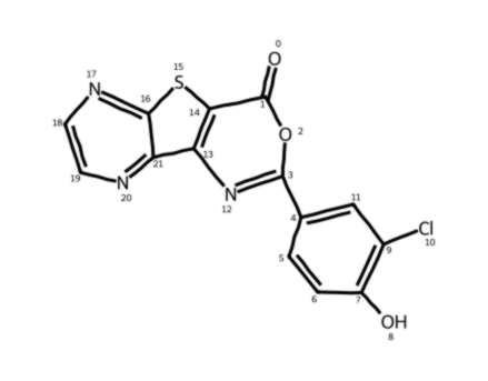 O=c1oc(-c2ccc(O)c(Cl)c2)nc2c1sc1nccnc12